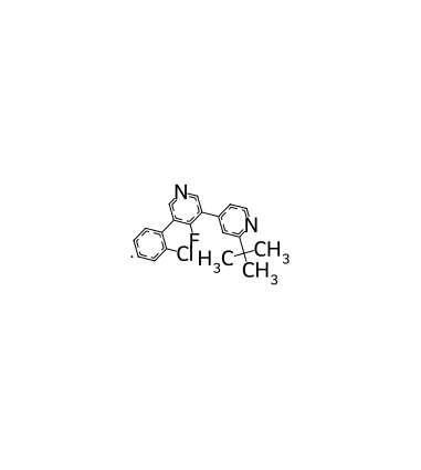 CC(C)(C)c1cc(-c2cncc(-c3cc[c]cc3Cl)c2F)ccn1